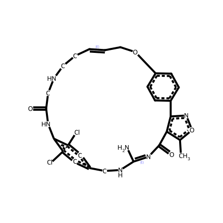 Cc1onc2c1C(=O)/N=C(\N)NCc1cc(Cl)c(c(Cl)c1)NC(=O)CNCC/C=C/COc1ccc-2cc1